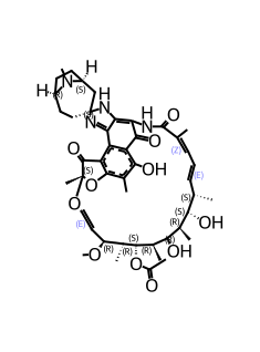 CO[C@H]1/C=C/O[C@@]2(C)Oc3c(C)c(O)c4c(c3C2=O)C2=N[C@]3(CC[C@H]5CC[C@@H](C3)N5C)NC2=C(NC(=O)/C(C)=C\C=C\[C@H](C)[C@H](O)[C@@H](C)[C@@H](O)[C@@H](C)[C@H](OC(C)=O)[C@@H]1C)C4=O